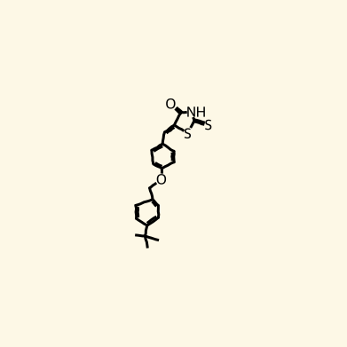 CC(C)(C)c1ccc(COc2ccc(/C=C3\SC(=S)NC3=O)cc2)cc1